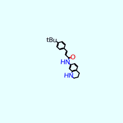 CC(C)(C)c1ccc(C=CC(=O)Nc2ccc3c(c2)NCCC3)cc1